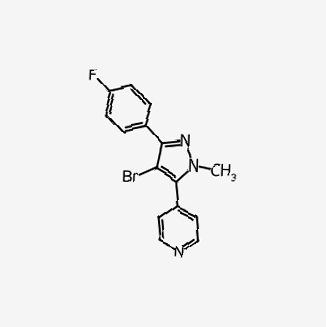 Cn1nc(-c2ccc(F)cc2)c(Br)c1-c1ccncc1